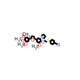 COc1cc(C2CCC(c3cc(OC)c(OCCSc4ccc(C#N)cc4)c(N4CCCC4)c3)O2)cc(OC)c1OC